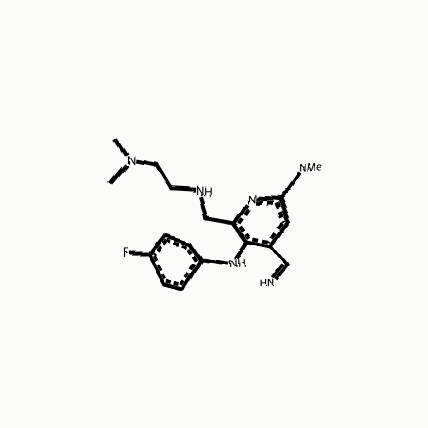 CNc1cc(C=N)c(Nc2ccc(F)cc2)c(CNCCN(C)C)n1